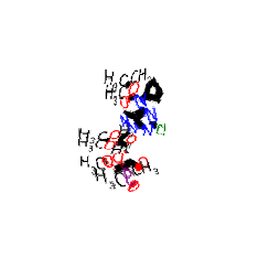 COCC(CC=O)(OC[C@H]1O[C@@H](n2ncc3c(N(C(=O)OC(C)(C)C)C4CCCC4)nc(Cl)nc32)[C@@H]2OC(C)(C)O[C@@H]21)P(C)(C)=O